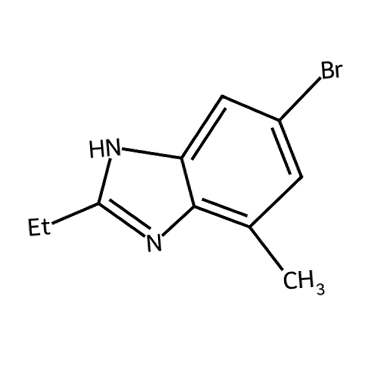 CCc1nc2c(C)cc(Br)cc2[nH]1